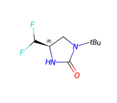 CC(C)(C)N1C[C@H](C(F)F)NC1=O